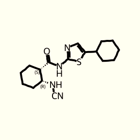 N#CN[C@@H]1CCCC[C@@H]1C(=O)Nc1ncc(C2CCCCC2)s1